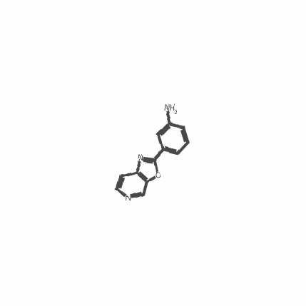 Nc1cccc(-c2nc3ccncc3o2)c1